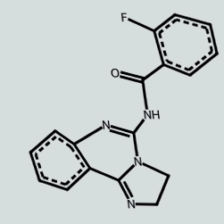 O=C(NC1=Nc2ccccc2C2=NCCN12)c1ccccc1F